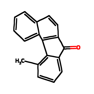 Cc1cccc2c1-c1c(ccc3ccccc13)C2=O